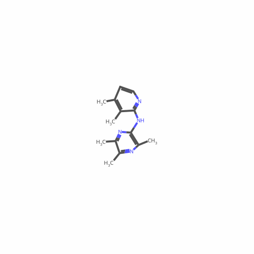 Cc1ccnc(Nc2nc(C)c(C)nc2C)c1C